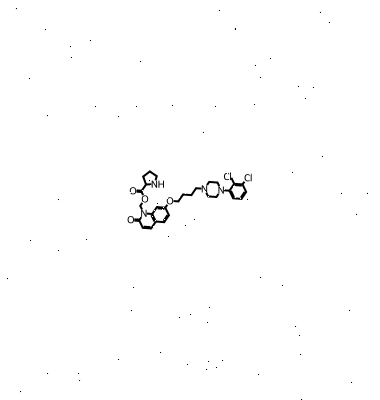 O=C(OCn1c(=O)ccc2ccc(OCCCCN3CCN(c4cccc(Cl)c4Cl)CC3)cc21)C1CCCN1